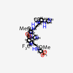 COc1cc(S(C)(=O)=O)ccc1NCC#Cc1cc2c(N[C@@H]3CCN(C)C[C@@H]3C)c(CS(=O)(=O)c3ccc(NCC#Cc4cc5c(N[C@H]6CCN(C)C[C@H]6C)cccc5n4CC(F)(F)F)c(OC)c3)ccc2n1CC(F)(F)F